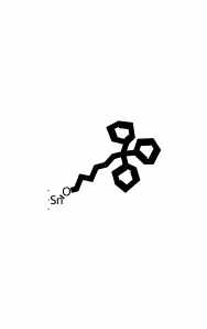 [Sn][O]CCCCCCC(c1ccccc1)(c1ccccc1)c1ccccc1